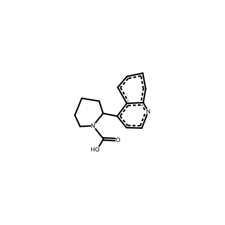 O=C(O)N1CCCCC1c1ccnc2ccccc12